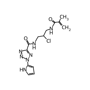 C=C(C)C(=O)NCC(Cl)CNC(=O)c1nnn(-c2ccc[nH]2)n1